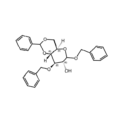 O[C@H]1C(OCc2ccccc2)O[C@@H]2COC(c3ccccc3)O[C@H]2[C@@H]1OCc1ccccc1